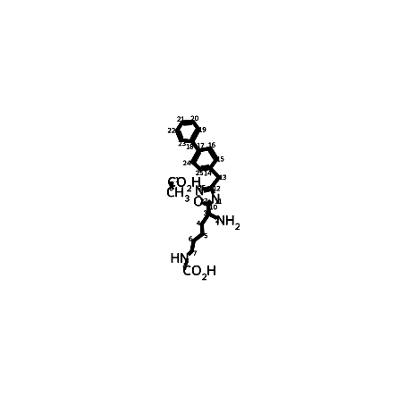 CC(=O)O.NC(CCCCNC(=O)O)c1nc(Cc2ccc(-c3ccccc3)cc2)no1